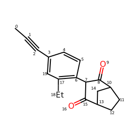 CC#Cc1ccc(C2C(=O)C3CCC(C3)C2=O)c(CC)c1